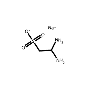 NC(N)CS(=O)(=O)[O-].[Na+]